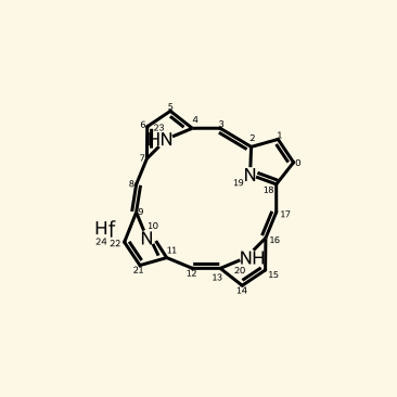 C1=Cc2cc3ccc(cc4nc(cc5ccc(cc1n2)[nH]5)C=C4)[nH]3.[Hf]